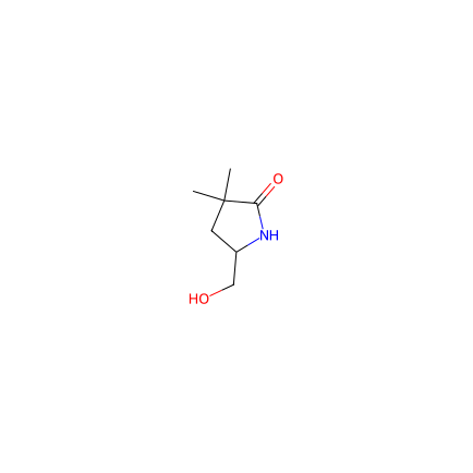 CC1(C)CC(CO)NC1=O